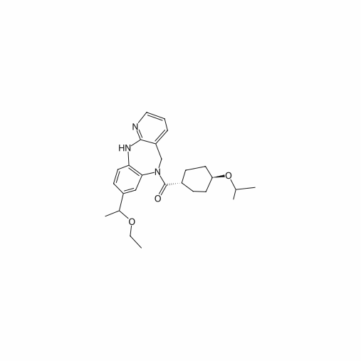 CCOC(C)c1ccc2c(c1)N(C(=O)[C@H]1CC[C@H](OC(C)C)CC1)Cc1cccnc1N2